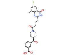 Cc1cc(F)cc2c(=O)[nH]c(CCCC(=O)N3CCC(C(=O)c4cccc(C(=O)O)c4)CC3)nc12